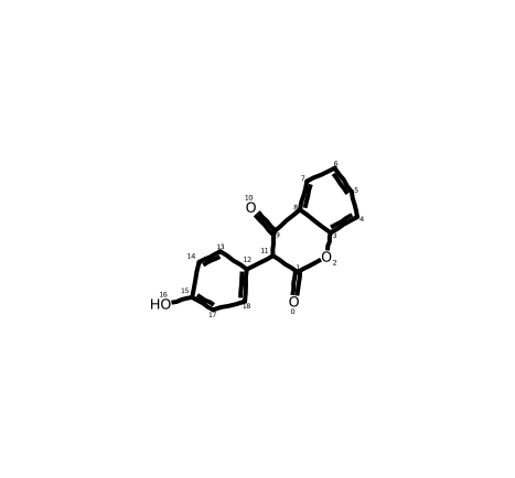 O=C1Oc2ccccc2C(=O)C1c1ccc(O)cc1